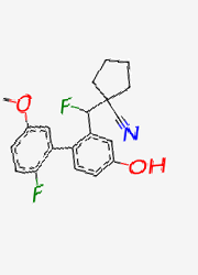 COc1ccc(F)c(-c2ccc(O)cc2C(F)C2(C#N)CCCC2)c1